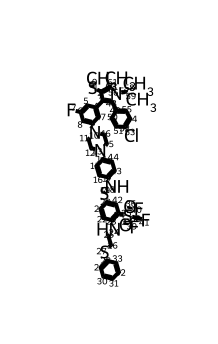 CSc1c(-c2cc(F)cc(N3CCN(c4ccc(NSc5ccc(NCCSc6ccccc6)c(S(=O)(=O)C(F)(F)F)c5)cc4)CC3)c2)c(-c2ccc(Cl)cc2)n(C(C)C)c1C